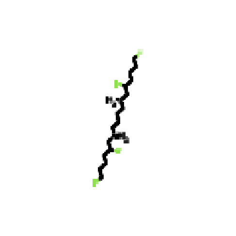 FCCCCC(F)C[SiH2]CCCC[SiH2]CC(F)CCCCF